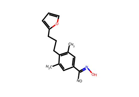 Cc1cc(C(N=O)=NO)cc(C)c1CCCc1ccco1